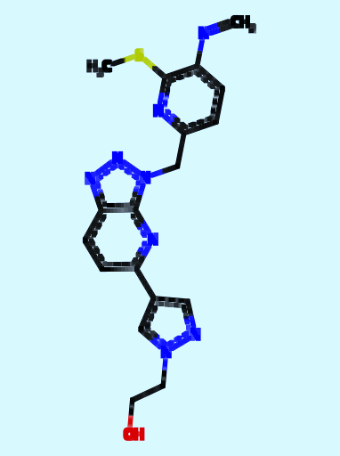 C=Nc1ccc(Cn2nnc3ccc(-c4cnn(CCO)c4)nc32)nc1SC